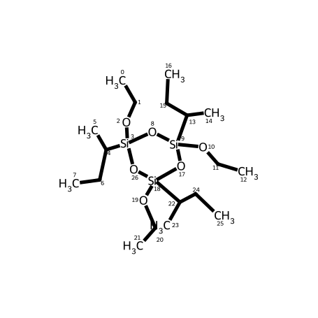 CCO[Si]1(C(C)CC)O[Si](OCC)(C(C)CC)O[Si](OCC)(C(C)CC)O1